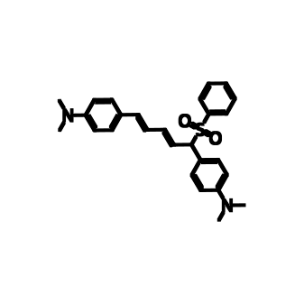 CN(C)c1ccc(C=CC=CC(c2ccc(N(C)C)cc2)S(=O)(=O)c2ccccc2)cc1